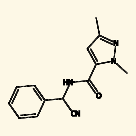 Cc1cc(C(=O)NC(C#N)c2ccccc2)n(C)n1